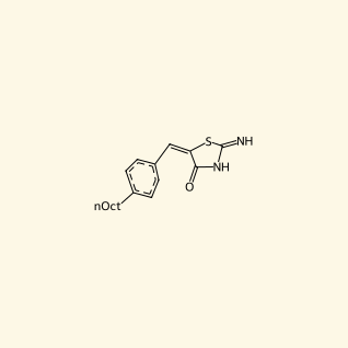 CCCCCCCCc1ccc(C=C2SC(=N)NC2=O)cc1